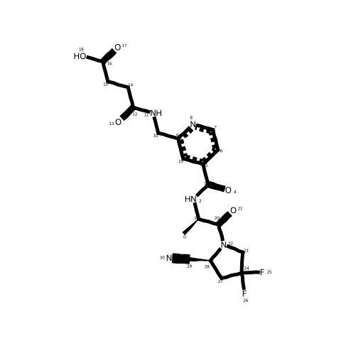 C[C@@H](NC(=O)c1ccnc(CNC(=O)CCC(=O)O)c1)C(=O)N1CC(F)(F)C[C@H]1C#N